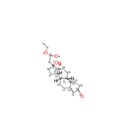 CCOC(=O)C[C@]1(O)CC[C@H]2[C@@H]3CCC4=CC(=O)CC[C@]4(C)[C@H]3CC[C@@]21C